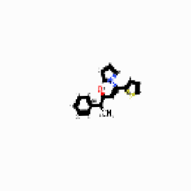 CC(C(=O)C=C(c1cccs1)N1CCCC1)c1ccccc1